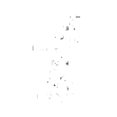 COc1cc(NC(C)=O)c(Cl)cc1C(=O)NC1C=CN2C(C)=CC=CC2=C1